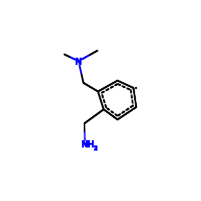 CN(C)Cc1c[c]ccc1CN